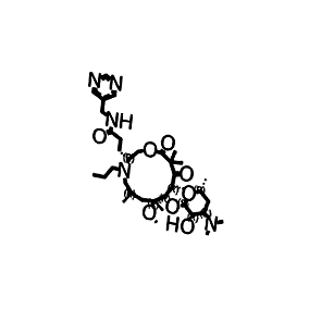 CCCN1C[C@H](C)C[C@@](C)(OC)[C@H](O[C@@H]2O[C@H](C)C[C@H](N(C)C)[C@H]2O)[C@@H](C)C(=O)C(C)(C)C(=O)OC[C@H]1CCC(=O)NCc1cncnc1